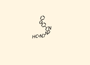 C#CN1CCC(n2ccc3ncc(-c4ccc(Oc5ccccc5)cc4)cc32)C1